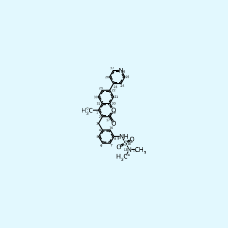 Cc1c(Cc2cccc(NS(=O)(=O)N(C)C)c2)c(=O)oc2cc(-c3ccncc3)ccc12